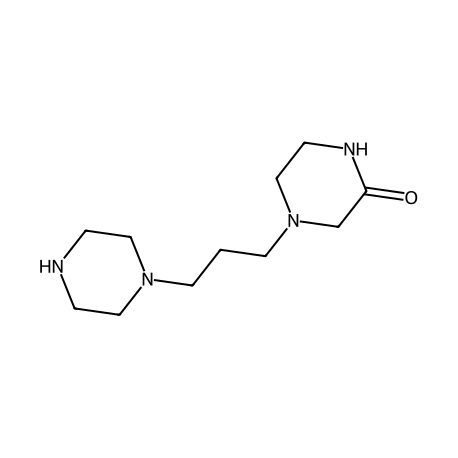 O=C1CN(CCCN2CCNCC2)CCN1